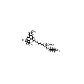 COC(=O)C(CCCCCCCCC[C@H]1C2C(CC[C@@]3(C)C2C[C@@H](O)C32CC2)c2ccc(O)cc2[C@@H]1F)CCCC(F)(F)C(F)(F)C(F)(F)C(F)(F)F